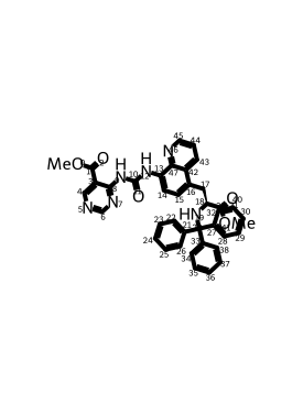 COC(=O)c1cncnc1NC(=O)Nc1ccc(C[C@H](NC(c2ccccc2)(c2ccccc2)c2ccccc2)C(=O)OC)c2cccnc12